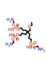 CCOCC(CCCOP(=O)(O)OCN)(CCCOP(=O)(O)OCN)CCCOP(=O)(O)OCN